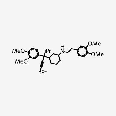 CCCC#CC(c1ccc(OC)c(OC)c1)(C(C)C)C1CCCC(NCCc2ccc(OC)c(OC)c2)C1